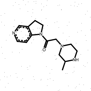 CC1CN(CC(=O)N2CCc3cnccc32)CCN1